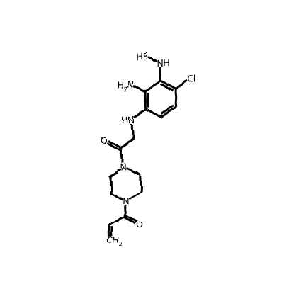 C=CC(=O)N1CCN(C(=O)CNc2ccc(Cl)c(NS)c2N)CC1